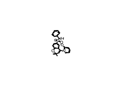 CC1(C)C=C(n2ccccc2=O)c2cc(S(=O)(=O)Nc3ccccc3)ccc2O1